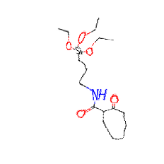 CCO[Si](CCCNC(=O)C1CCCCCC1=O)(OCC)OCC